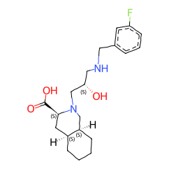 O=C(O)[C@@H]1C[C@@H]2CCCC[C@@H]2CN1C[C@@H](O)CNCc1cccc(F)c1